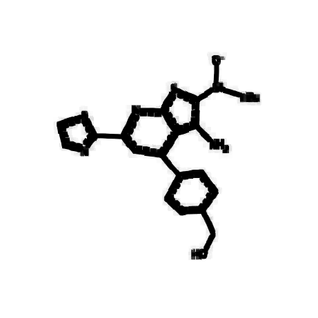 CCCC[S+]([O-])c1sc2nc(-c3nccs3)cc(-c3ccc(CO)cc3)c2c1N